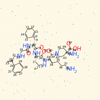 CC(C)C[C@H](NC(=O)[C@@H](Cc1ccccc1)NC(=O)CNC[C@H](C)c1ccccc1)C(=O)N[C@H](CCCCN)C(=O)N1CCC(N)(C(=O)O)CC1